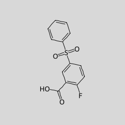 O=C(O)c1cc(S(=O)(=O)c2ccccc2)ccc1F